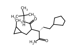 CC1CC1CC(C(=O)NC(C)(C)C)[C@H](CCC1CCCC1)C(N)=O